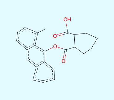 Cc1cccc2cc3ccccc3c(OC(=O)C3CCCCC3C(=O)O)c12